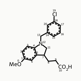 COc1ccc2c(c1)C(CCC(=O)O)CN2Cc1cccc(Cl)c1